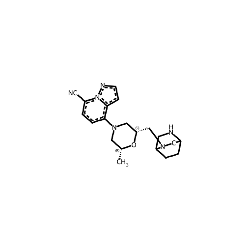 C[C@@H]1CN(c2ccc(C#N)n3nccc23)C[C@H](CN2CC3CCC2CN3)O1